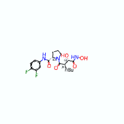 CCCC[C@@H](C(=O)N1CCC[C@H]1C(=O)Nc1ccc(F)c(F)c1)[C@H](O)C(=O)NO